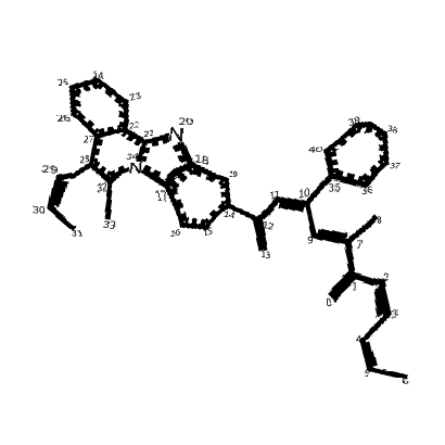 C=C(/C=C\C=C/C)/C(C)=C/C(=C\C(=C)c1ccc2c(c1)nc1c3ccccc3c(/C=C\C)c(C)n21)c1ccccc1